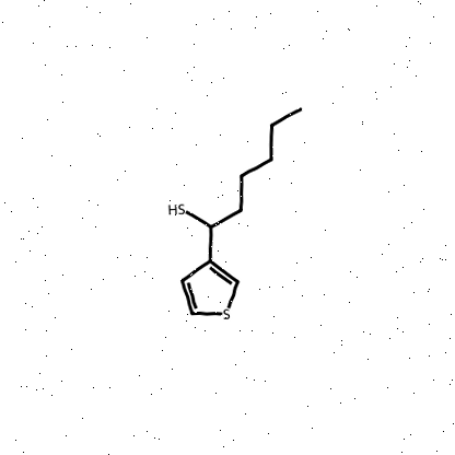 CCCCCC(S)c1ccsc1